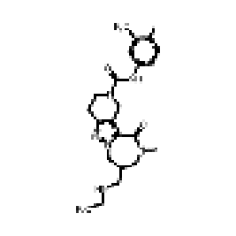 CN1CC(CNCC(F)(F)F)Cn2nc3c(c2C1=O)CN(C(=O)Nc1ccc(F)c(C(F)(F)F)c1)CC3